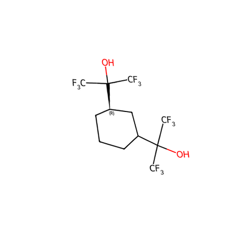 OC(C1CCC[C@@H](C(O)(C(F)(F)F)C(F)(F)F)C1)(C(F)(F)F)C(F)(F)F